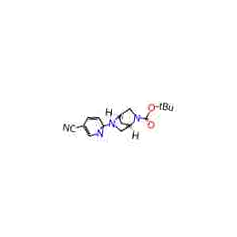 CC(C)(C)OC(=O)N1C[C@H]2C[C@@H]1CN2c1ccc(C#N)cn1